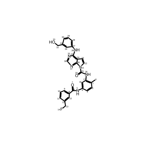 Cc1ccc(NC(=O)c2cccc(CF)c2)cc1NC(=O)n1ccc2c(Nc3cccc(CO)c3)ncnc21